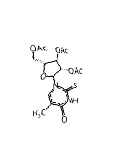 CC(=O)OC[C@H]1OC(n2cc(C)c(=O)[nH]c2=S)[C@@H](OC(C)=O)[C@@H]1OC(C)=O